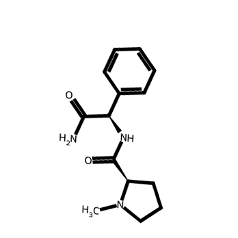 CN1CCC[C@@H]1C(=O)N[C@@H](C(N)=O)c1ccccc1